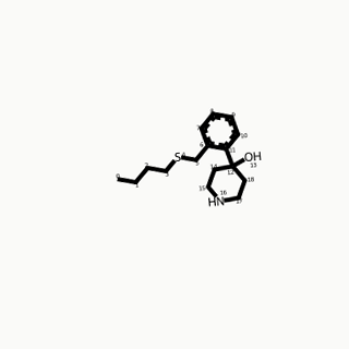 CCCCSCc1ccccc1C1(O)CCNCC1